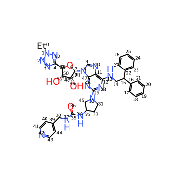 CCn1nnc([C@H]2O[C@@H](n3cnc4c(NCC(c5ccccc5)c5ccccc5)nc(N5CCC(NC(=O)NCc6ccncc6)C5)nc43)[C@H](O)[C@@H]2O)n1